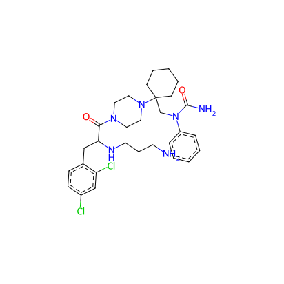 NCCCNC(Cc1ccc(Cl)cc1Cl)C(=O)N1CCN(C2(CN(C(N)=O)c3ccccc3)CCCCC2)CC1